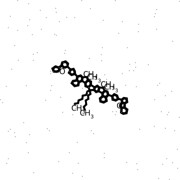 CCCCCCCCC1(CCCCCCCC)c2cc3c(cc2-c2cc4c(cc21)-c1c(cc(-c2ccc(-c5cccc6c5oc5ccccc56)cc2)c2ccccc12)C4(C)C)C(C)(C)c1cc(-c2ccc(-c4cccc5c4oc4ccccc45)cc2)c2ccccc2c1-3